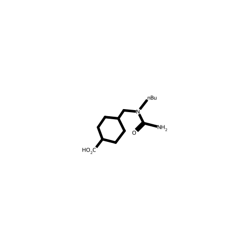 CCCCN(CC1CCC(C(=O)O)CC1)C(N)=O